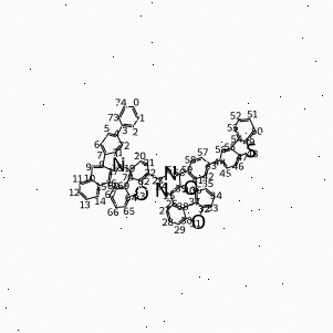 c1ccc(-c2ccc3c4cc5ccccc5cc4n(-c4ccc(-c5nc(-c6cccc7oc8ccccc8c67)c6oc7cc(-c8ccc9sc%10ccccc%10c9c8)ccc7c6n5)c5oc6ccccc6c45)c3c2)cc1